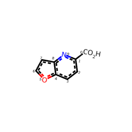 O=C(O)c1ccc2occc2n1